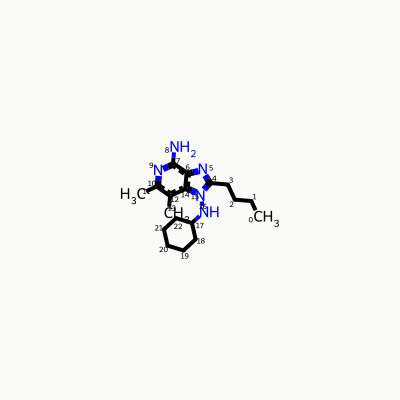 CCCCc1nc2c(N)nc(C)c(C)c2n1NC1CCCCC1